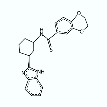 S=C(NC1CCC[C@H](c2nc3ccccc3[nH]2)C1)c1ccc2c(c1)OCCO2